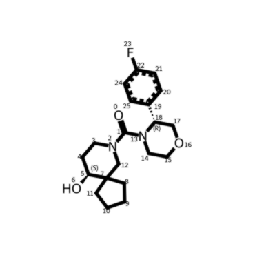 O=C(N1CC[C@H](O)C2(CCCC2)C1)N1CCOC[C@H]1c1ccc(F)cc1